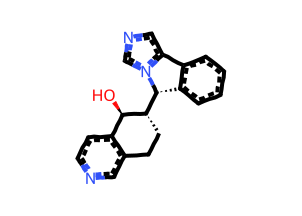 O[C@@H]1c2ccncc2CC[C@H]1[C@H]1c2ccccc2-c2cncn21